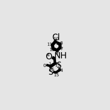 CC1=C(C(=O)Nc2ccc(Cl)cc2)SCCS1